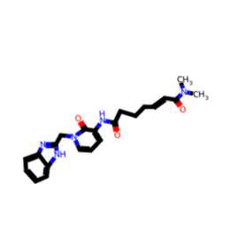 CN(C)C(=O)/C=C/CCCC(=O)Nc1cccn(Cc2nc3ccccc3[nH]2)c1=O